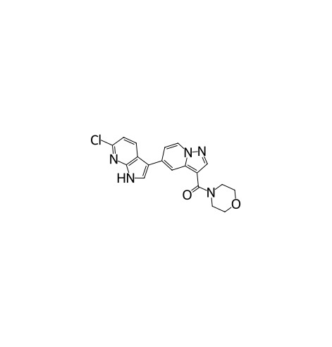 O=C(c1cnn2ccc(-c3c[nH]c4nc(Cl)ccc34)cc12)N1CCOCC1